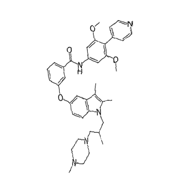 COc1cc(NC(=O)c2cccc(Oc3ccc4c(c3)c(C)c(C)n4CC(C)CN3CCN(C)CC3)c2)cc(OC)c1-c1ccncc1